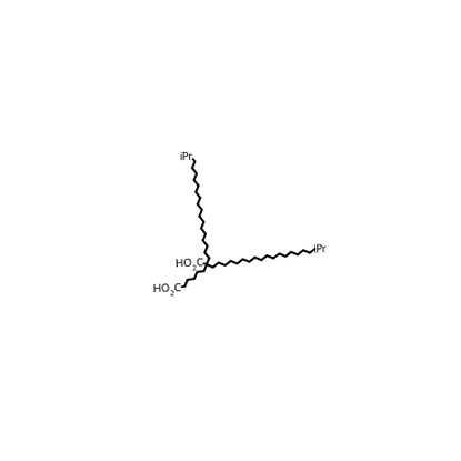 CC(C)CCCCCCCCCCCCCCCCCC(CCCCCCCCCCCCCCCCCC(C)C)(CCCCCC(=O)O)C(=O)O